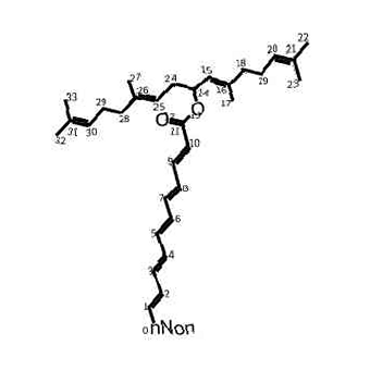 CCCCCCCCCC=CC=CC=CC=CC=CC(=O)OC(/C=C(\C)CCC=C(C)C)C/C=C(\C)CCC=C(C)C